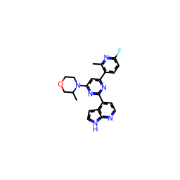 Cc1nc(F)ccc1-c1cc(N2CCOCC2C)nc(-c2ccnc3[nH]ccc23)n1